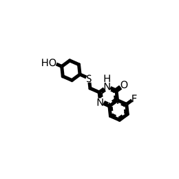 O=c1[nH]c(CSC2CCC(O)CC2)nc2cccc(F)c12